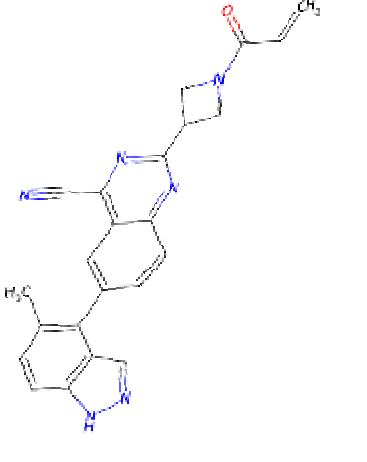 C=CC(=O)N1CC(c2nc(C#N)c3cc(-c4c(C)ccc5[nH]ncc45)ccc3n2)C1